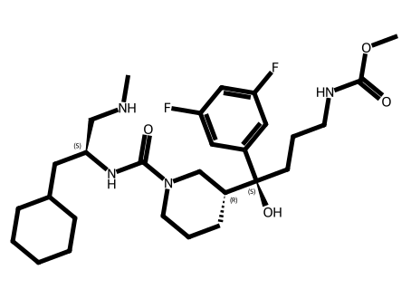 CNC[C@H](CC1CCCCC1)NC(=O)N1CCC[C@@H]([C@@](O)(CCCNC(=O)OC)c2cc(F)cc(F)c2)C1